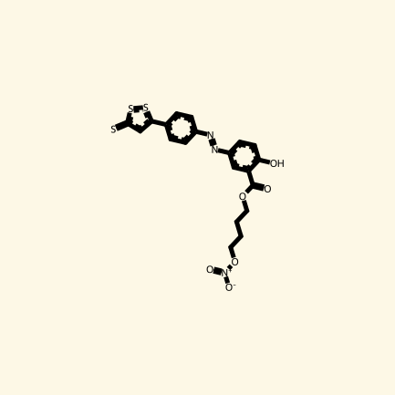 O=C(OCCCCO[N+](=O)[O-])c1cc(N=Nc2ccc(-c3cc(=S)ss3)cc2)ccc1O